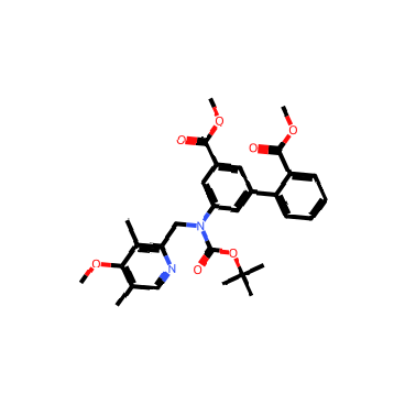 COC(=O)c1cc(-c2ccccc2C(=O)OC)cc(N(Cc2ncc(C)c(OC)c2C)C(=O)OC(C)(C)C)c1